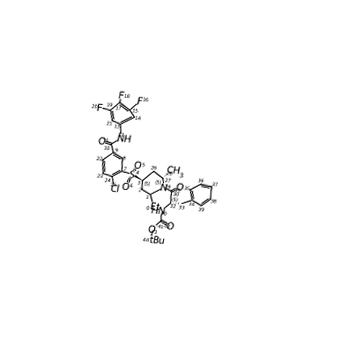 CCC1C[C@@H](S(=O)(=O)c2cc(C(=O)Nc3cc(F)c(F)c(F)c3)ccc2Cl)C[C@H](C)N1C(=O)[C@H](Cc1ccccc1)NC(=O)OC(C)(C)C